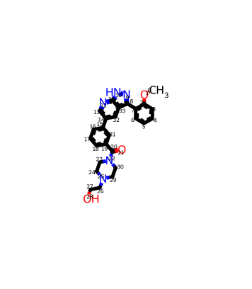 COc1ccccc1-c1n[nH]c2ncc(-c3cccc(C(=O)N4CCN(CCO)CC4)c3)cc12